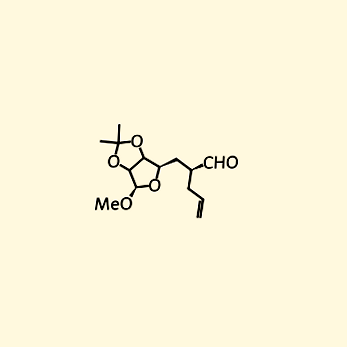 C=CC[C@H](C=O)C[C@H]1O[C@@H](OC)C2OC(C)(C)OC21